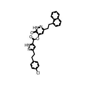 O=C(Oc1cc(CCc2cccc3ccccc23)n[nH]c1=O)c1cc(CCc2ccc(Cl)cc2)n[nH]1